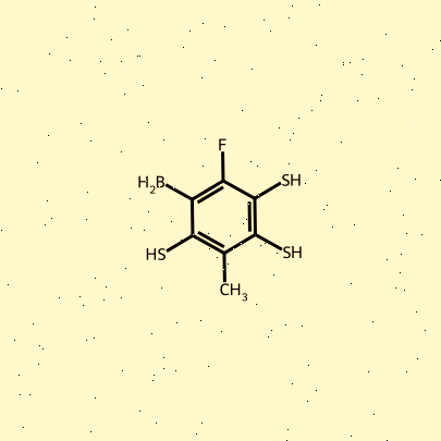 Bc1c(F)c(S)c(S)c(C)c1S